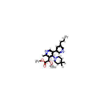 Cc1ncc(-c2cncc(CCC(C)C)c2)c(N2CCC(C)(C)CC2)c1C(OC(C)(C)C)C(=O)OC(C)C